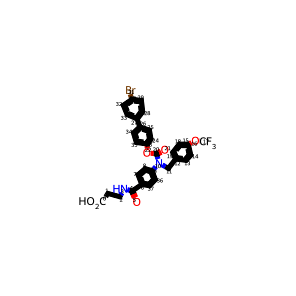 O=C(O)CCNC(=O)c1ccc(N(Cc2ccc(OC(F)(F)F)cc2)C(=O)Oc2ccc(-c3ccc(Br)cc3)cc2)cc1